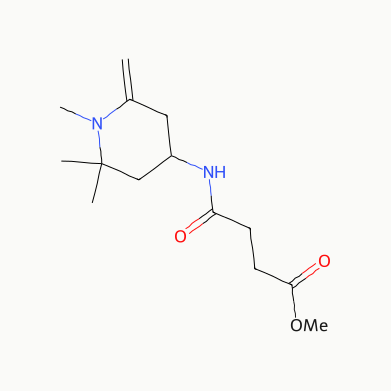 C=C1CC(NC(=O)CCC(=O)OC)CC(C)(C)N1C